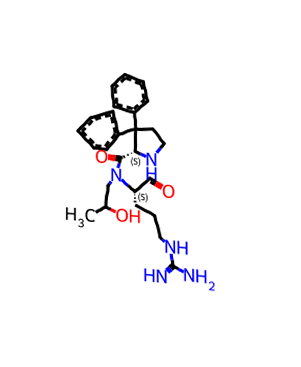 CC(O)CN(C(=O)[C@H]1NCCC1(c1ccccc1)c1ccccc1)[C@H](C=O)CCCNC(=N)N